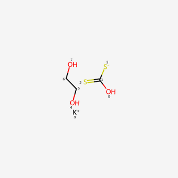 OC(=S)[S-].OCCO.[K+]